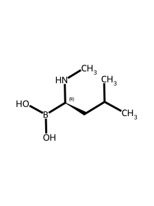 CN[C@@H](CC(C)C)B(O)O